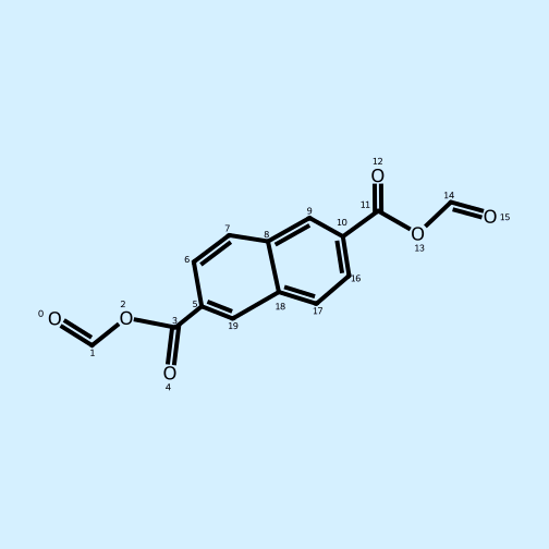 O=COC(=O)c1ccc2cc(C(=O)OC=O)ccc2c1